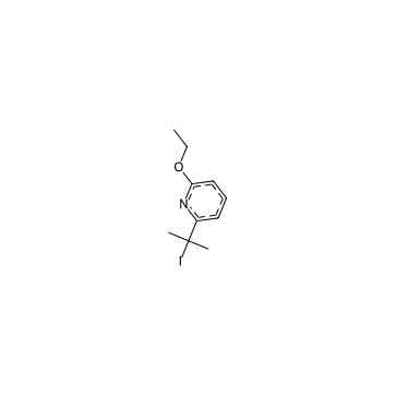 CCOc1cccc(C(C)(C)I)n1